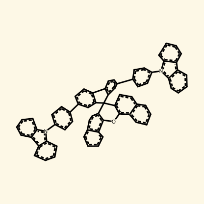 c1ccc2c3c(ccc2c1)C1(c2cc(-c4ccc(-n5c6ccccc6c6ccccc65)cc4)ccc2-c2ccc(-c4ccc(-n5c6ccccc6c6ccccc65)cc4)cc21)c1ccc2ccccc2c1O3